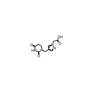 O=C(O)Cn1cc(CN2CCC(=O)NC2=O)cn1